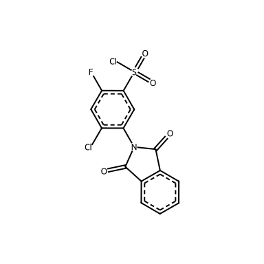 O=C1c2ccccc2C(=O)N1c1cc(S(=O)(=O)Cl)c(F)cc1Cl